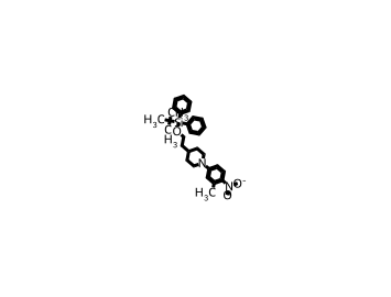 Cc1cc(N2CCC(CCO[Si](c3ccccc3)(c3ccccc3)C(C)(C)C)CC2)ccc1[N+](=O)[O-]